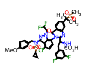 COc1ccc(CN(c2nn(CC(F)F)c3c(-n4c(C(Cc5cc(F)cc(F)c5)NC(=O)O)nc5cc(C(C)(C)S(C)(=O)=O)ccc5c4=O)ccc(Cl)c23)S(=O)(=O)C2CC2)cc1